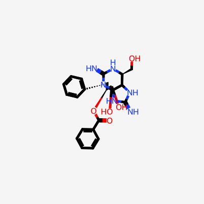 N=C1NC2[C@H](CO)NC(=N)N3[C@H](c4ccccc4)[C@H](OC(=O)c4ccccc4)C(O)(O)C23N1